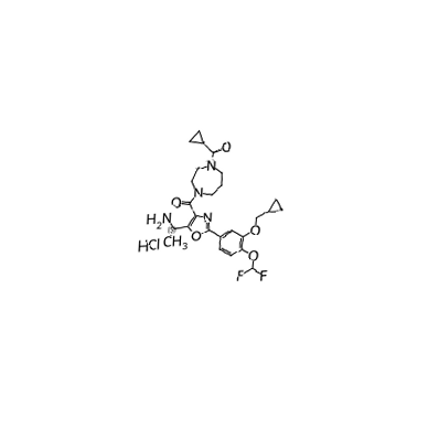 C[C@H](N)c1oc(-c2ccc(OC(F)F)c(OCC3CC3)c2)nc1C(=O)N1CCCN(C(=O)C2CC2)CC1.Cl